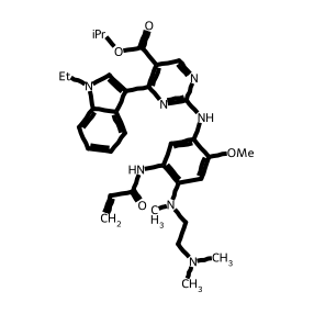 C=CC(=O)Nc1cc(Nc2ncc(C(=O)OC(C)C)c(-c3cn(CC)c4ccccc34)n2)c(OC)cc1N(C)CCN(C)C